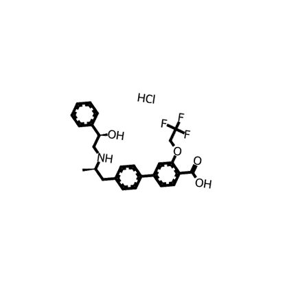 C[C@H](Cc1ccc(-c2ccc(C(=O)O)c(OCC(F)(F)F)c2)cc1)NC[C@H](O)c1ccccc1.Cl